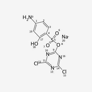 Nc1ccc(S(=O)(=O)Oc2nc(Cl)nc(Cl)n2)c(O)c1.[Na]